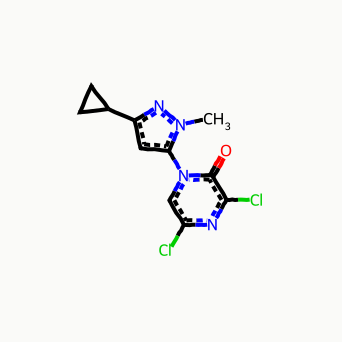 Cn1nc(C2CC2)cc1-n1cc(Cl)nc(Cl)c1=O